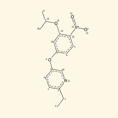 CCc1ccc(Oc2ccc([N+](=O)[O-])c(OC(C)C)c2)cn1